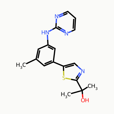 Cc1cc(Nc2ncccn2)cc(-c2cnc(C(C)(C)O)s2)c1